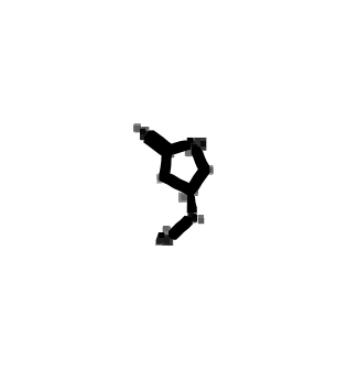 CC(=O)S[C@@H]1CNC(=S)C1